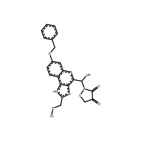 CCCC(c1nc2cc(OCc3ccccc3)ccc2c2[nH]c(COCC)nc12)N1SCC(=O)C1=O